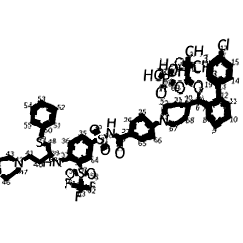 CC(C)(C)C(O[C@@H](c1ccccc1-c1ccc(Cl)cc1)C1CCN(c2ccc(C(=O)NS(=O)(=O)c3ccc(NC(CCN4CCOCC4)CSc4ccccc4)c(S(=O)(=O)C(F)(F)F)c3)cc2)CC1)OP(=O)(O)O